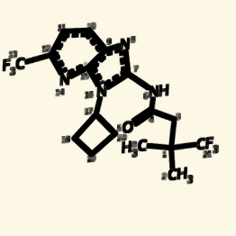 CC(C)(CC(=O)Nc1nc2ccc(C(F)(F)F)nc2n1C1CCC1)C(F)(F)F